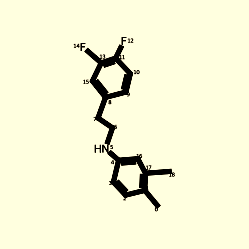 Cc1ccc(NCCc2ccc(F)c(F)c2)cc1C